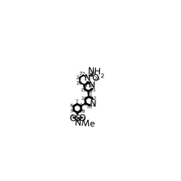 CNS(=O)(=O)c1cccc(-c2cncc(-c3cnc4c(c3)CCCN4C(N)=O)c2)c1